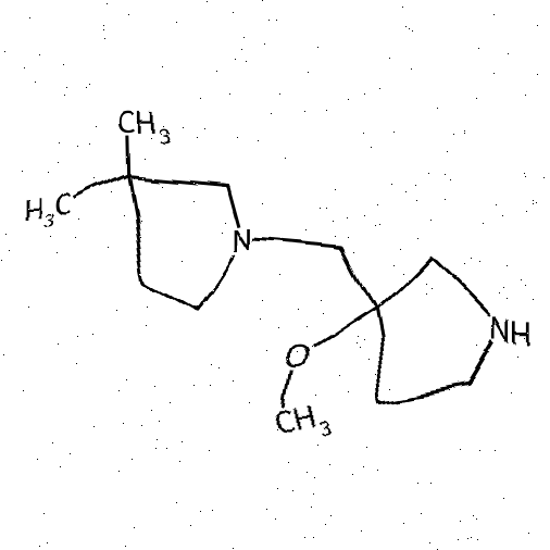 COC1(CN2CCC(C)(C)C2)CCNC1